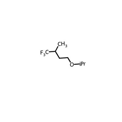 CC(C)OCCC(C)C(F)(F)F